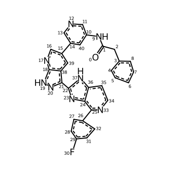 O=C(Cc1ccccc1)Nc1cncc(-c2cnc3[nH]nc(-c4nc5c(-c6ccc(F)cc6)nccc5[nH]4)c3c2)c1